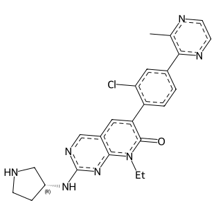 CCn1c(=O)c(-c2ccc(-c3nccnc3C)cc2Cl)cc2cnc(N[C@@H]3CCNC3)nc21